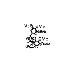 COc1cc(/C=C\S(=O)(=O)CS(=O)(=O)/C=C/c2cc(OC)c(OC)c(OC)c2)cc(OC)c1OC